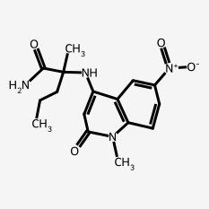 CCCC(C)(Nc1cc(=O)n(C)c2ccc([N+](=O)[O-])cc12)C(N)=O